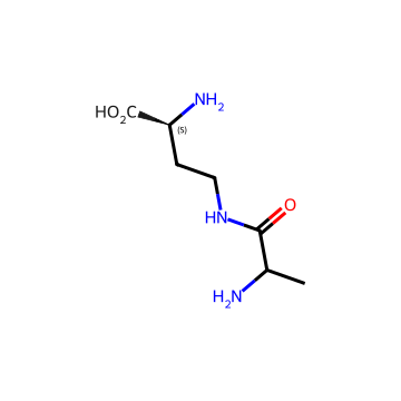 CC(N)C(=O)NCC[C@H](N)C(=O)O